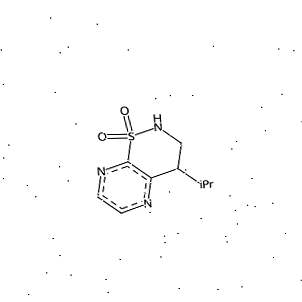 CC(C)C1CNS(=O)(=O)c2nccnc21